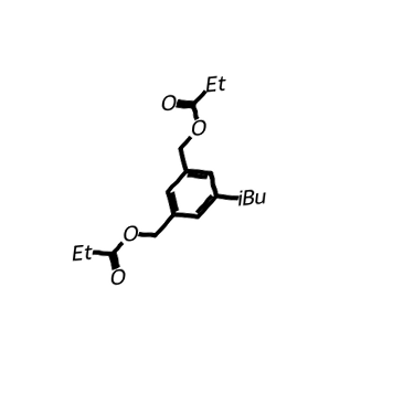 CCC(=O)OCc1cc(COC(=O)CC)cc(C(C)CC)c1